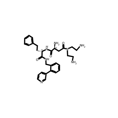 NCCN(CCN)C(=O)C[C@H](N)C(=O)N[C@@H](CCc1ccccc1)C(=O)NCc1ccccc1-c1cccnc1